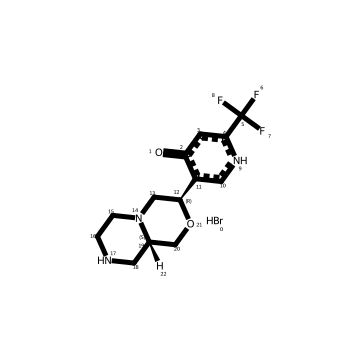 Br.O=c1cc(C(F)(F)F)[nH]cc1[C@@H]1CN2CCNC[C@H]2CO1